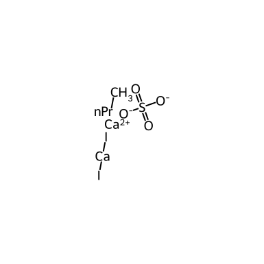 CCCC.O=S(=O)([O-])[O-].[Ca+2].[I][Ca][I]